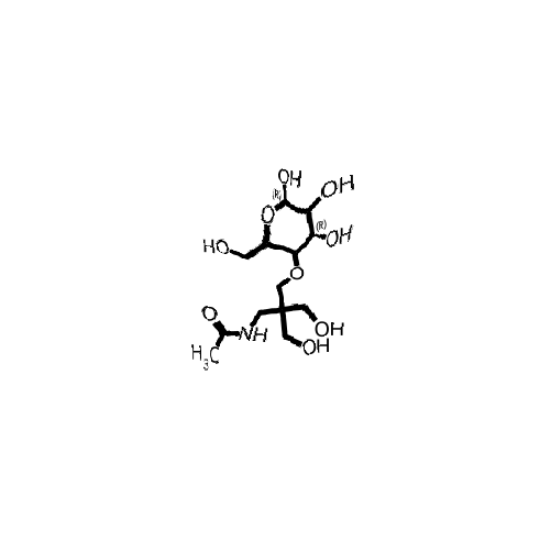 CC(=O)NCC(CO)(CO)COC1C(CO)O[C@@H](O)C(O)[C@H]1O